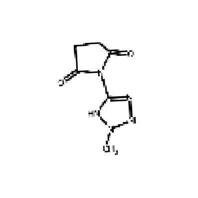 CN1NN=C(N2C(=O)CCC2=O)N1